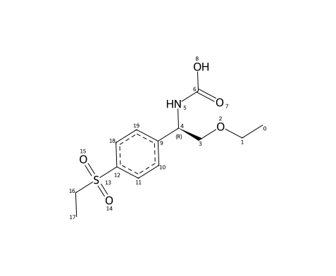 CCOC[C@H](NC(=O)O)c1ccc(S(=O)(=O)CC)cc1